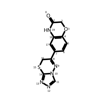 O=C1COc2ccc(C3=Nn4cnnc4SC3)cc2N1